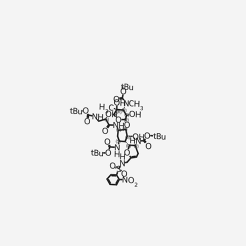 CN(C(=O)OC(C)(C)C)[C@@H]1[C@@H](O)[C@@H](O[C@H]2[C@H](NC(=O)[C@@H](O)CNC(=O)OC(C)(C)C)C[C@H](NC(=O)OC(C)(C)C)C([C@H]3OC(CNS(=O)(=O)c4ccccc4[N+](=O)[O-])=CC[C@H]3NC(=O)OC(C)(C)C)[C@@H]2O)OC[C@]1(C)O